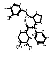 Cc1ccc(COC2CCCC2N(C(=O)C2CCC(Cl)C(Cl)C2)c2ccccc2)cc1Cl